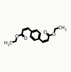 CCOC(=O)/C=C\c1ccc(/C=C\C(=O)OCC)cc1